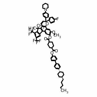 CCCCC[C@H]1CC[C@H](c2ccc(-c3ccc(OC(=O)C4CCC(C(=O)Oc5cc6c7c(c8c(c6cc5OC)OC(c5ccc(F)cc5)(c5ccc(N6CCCCC6)cc5)C=C8)C(C)(C)c5c-7cc(C(F)(F)F)cc5C(F)(F)F)CC4)cc3)cc2)CC1